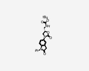 CC(C)N1C(=O)Cc2cc(N3C[C@H](CNC(=O)OC(C)(C)C)OC3=O)ccc21